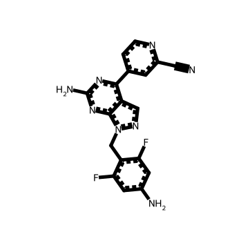 N#Cc1cc(-c2nc(N)nc3c2cnn3Cc2c(F)cc(N)cc2F)ccn1